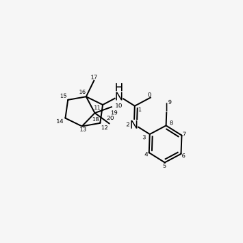 CC(=Nc1ccccc1I)NC1CC2CCC1(C)C2(C)C